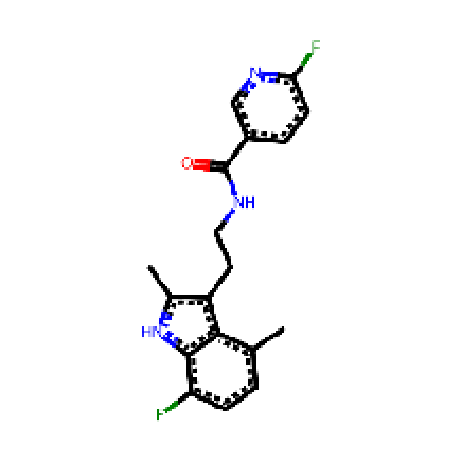 Cc1[nH]c2c(F)ccc(C)c2c1CCNC(=O)c1ccc(F)nc1